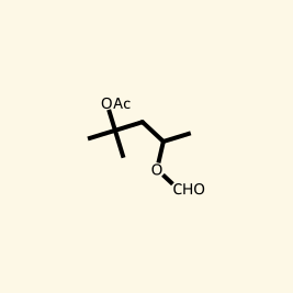 CC(=O)OC(C)(C)CC(C)OC=O